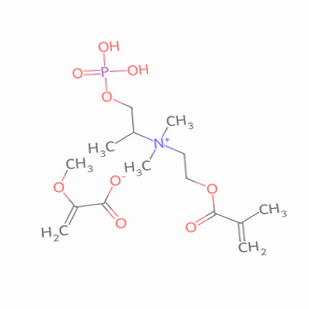 C=C(C)C(=O)OCC[N+](C)(C)C(C)COP(=O)(O)O.C=C(OC)C(=O)[O-]